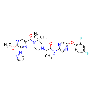 COc1ncc(C(=O)N2CCN(C(C)C(=O)Nc3cnc(Oc4ccc(F)cc4F)cn3)CC2(C)C)nc1-n1cccn1